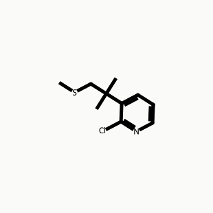 CSCC(C)(C)c1cccnc1Cl